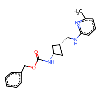 Cc1cccc(NC[C@H]2C[C@@H](NC(=O)OCc3ccccc3)C2)n1